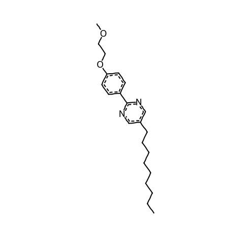 CCCCCCCCCc1cnc(-c2ccc(OCCOC)cc2)nc1